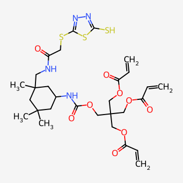 C=CC(=O)OCC(COC(=O)C=C)(COC(=O)C=C)COC(=O)NC1CC(C)(C)CC(C)(CNC(=O)CSc2nnc(S)s2)C1